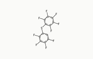 Fc1cc(Sc2c(F)c(F)c(F)c(F)c2F)c(F)c(F)c1F